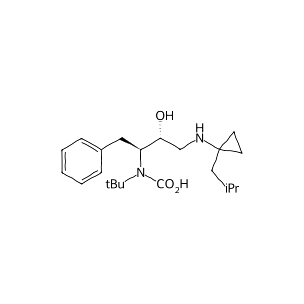 CC(C)CC1(NC[C@@H](O)[C@H](Cc2ccccc2)N(C(=O)O)C(C)(C)C)CC1